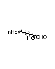 CCCCCCC=CCCCCCC(O)CC=O